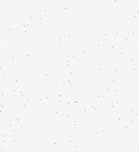 Cc1ccc2c(c1)CC(C)(C)N2C(=O)CC[C@@H](C)[C@H]1CC[C@H]2[C@@H]3CC[C@@H]4C[C@H](O)CC[C@]4(C)[C@H]3C[C@H](O)[C@]12C